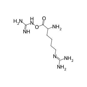 N=C(N)NOC(=O)C(N)CCCCN=C(N)N